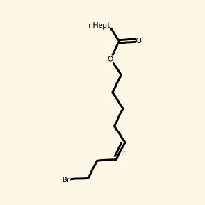 CCCCCCCC(=O)OCCCC/C=C\CCBr